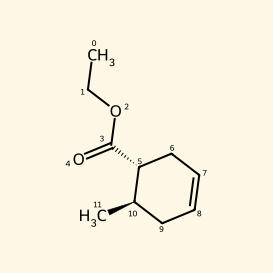 CCOC(=O)[C@@H]1CC=CC[C@H]1C